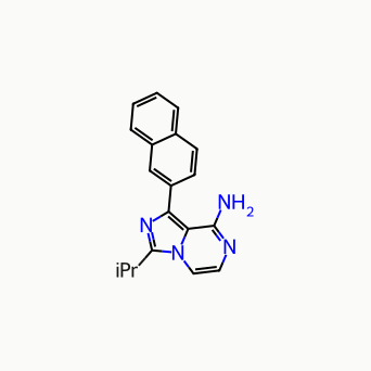 CC(C)c1nc(-c2ccc3ccccc3c2)c2c(N)nccn12